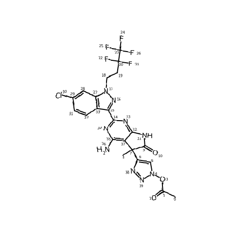 CC(=O)On1cc(C2(C)C(=O)Nc3nc(-c4nn(CCC(F)(F)C(F)(F)F)c5cc(Cl)ccc45)nc(N)c32)nn1